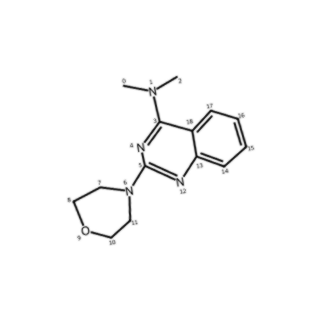 CN(C)c1nc(N2CCOCC2)nc2ccccc12